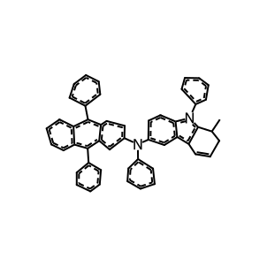 CC1CC=Cc2c1n(-c1ccccc1)c1ccc(N(c3ccccc3)c3ccc4c(-c5ccccc5)c5ccccc5c(-c5ccccc5)c4c3)cc21